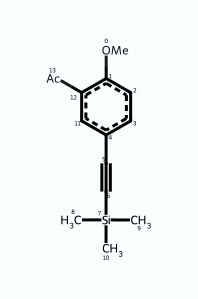 COc1ccc(C#C[Si](C)(C)C)cc1C(C)=O